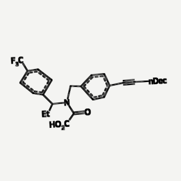 CCCCCCCCCCC#Cc1ccc(CN(C(=O)C(=O)O)C(CC)c2ccc(C(F)(F)F)cc2)cc1